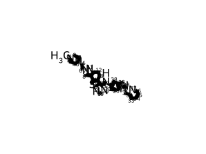 CN1CCN(CCn2cc3c(n2)CCc2c-3sc3ncnc(Nc4ccc5c(cnn5Cc5ccccn5)c4)c23)CC1